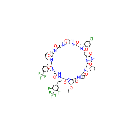 CCO[C@@H]1C[C@H]2C(=O)NC3(CCC3)C(=O)N(C)[C@@H](C3CCCC3)C(=O)N(C)[C@H](C(=O)N(C)C)CC(=O)N(C)[C@@H](Cc3cccc(Cl)c3)C(=O)N[C@@H]([C@@H](C)CC)C(=O)N(C)CC(=O)N(C)[C@H]3C/C=C\CCN(C3=O)[C@@H](Cc3ccc(C(F)(F)F)cc3)C(=O)N(C)CC(=O)N[C@@H](CCc3cc(F)c(C(F)(F)F)c(F)c3)C(=O)N2C1